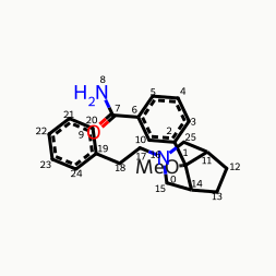 COC1(c2cccc(C(N)=O)c2)C2CCC1CN(CCc1ccccc1)C2